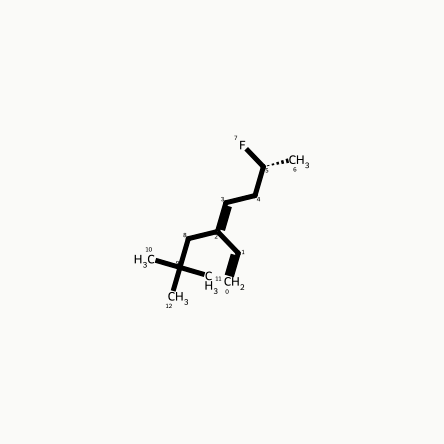 C=C/C(=C\C[C@@H](C)F)CC(C)(C)C